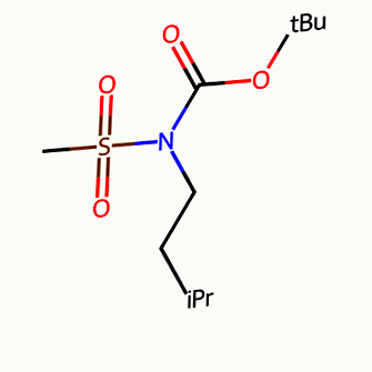 CC(C)CCN(C(=O)OC(C)(C)C)S(C)(=O)=O